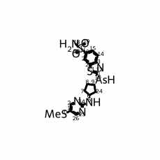 CSc1cnc(N[C@H]2CC[C@H]([AsH]c3nc4ccc(S(N)(=O)=O)cc4s3)C2)nc1